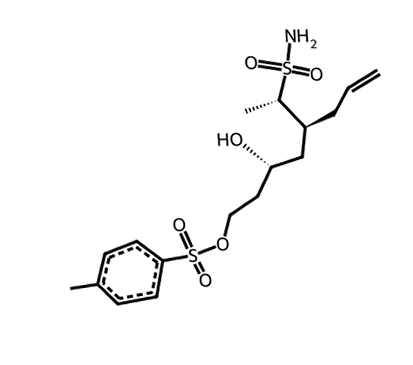 C=CC[C@@H](C[C@@H](O)CCOS(=O)(=O)c1ccc(C)cc1)[C@H](C)S(N)(=O)=O